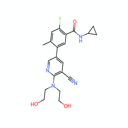 Cc1cc(F)c(C(=O)NC2CC2)cc1-c1cnc(N(CCO)CCO)c(C#N)c1